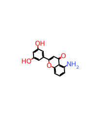 Nc1cccc2oc(-c3cc(O)cc(O)c3)cc(=O)c12